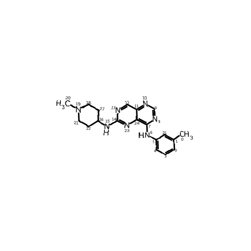 Cc1cccc(Nc2ncnc3cnc(NC4CCN(C)CC4)nc23)c1